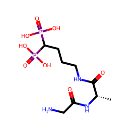 C[C@H](NC(=O)CN)C(=O)NCCCC(P(=O)(O)O)P(=O)(O)O